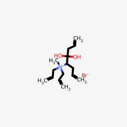 C=CCC(C(O)(O)CC=C)[N+](C)(CC=C)CC=C.[Br-]